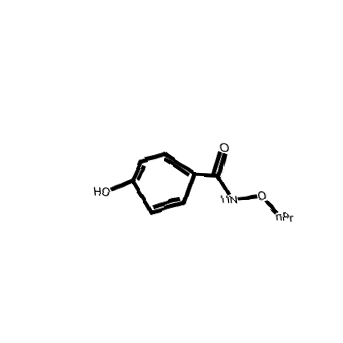 CCCONC(=O)c1ccc(O)cc1